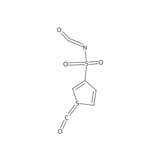 O=C=NS(=O)(=O)C1=CS(=C=O)C=C1